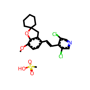 COc1ccc(C=Cc2c(Cl)cncc2Cl)c2c1OC1(CCCCC1)C2.CS(=O)(=O)O